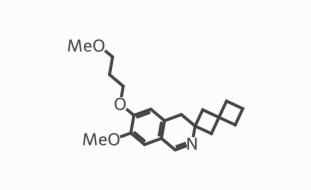 COCCCOc1cc2c(cc1OC)C=NC1(C2)CC2(CCC2)C1